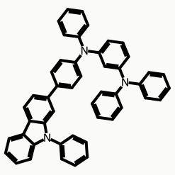 c1ccc(N(c2ccccc2)c2cccc(N(c3ccccc3)c3ccc(-c4ccc5c6ccccc6n(-c6ccccc6)c5c4)cc3)c2)cc1